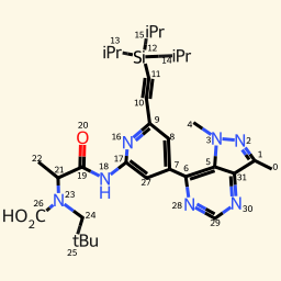 Cc1nn(C)c2c(-c3cc(C#C[Si](C(C)C)(C(C)C)C(C)C)nc(NC(=O)C(C)N(CC(C)(C)C)C(=O)O)c3)ncnc12